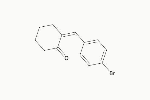 O=C1CCCCC1=Cc1ccc(Br)cc1